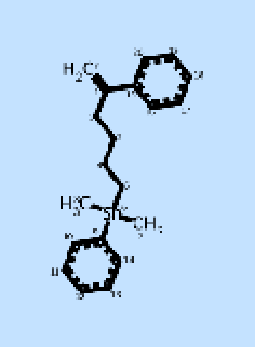 C=C(CCC[CH2][Sn]([CH3])([CH3])[c]1ccccc1)c1ccccc1